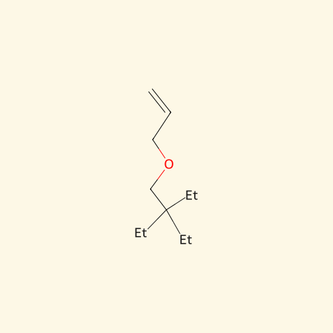 C=CCOCC(CC)(CC)CC